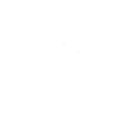 COc1cccc(C(O)CN(C)C)c1OC(C)C